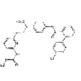 CCc1ccc(-c2ccccc2C(=O)Nc2ccc(N(CCc3cccc(NC(=O)OC(C)(C)C)n3)C(=O)O)cc2)cc1